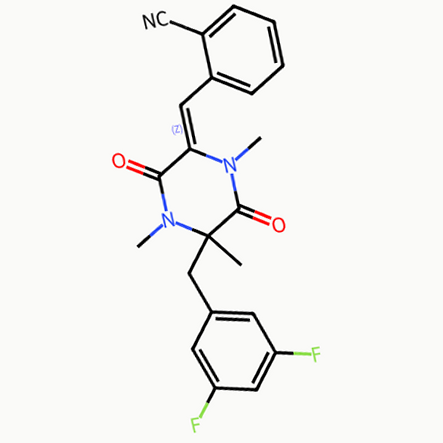 CN1C(=O)C(C)(Cc2cc(F)cc(F)c2)N(C)C(=O)/C1=C/c1ccccc1C#N